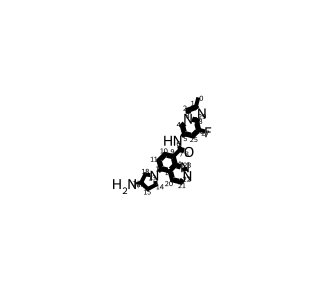 Cc1cn2cc(NC(=O)c3ccc(N4CC[C@@H](N)C4)c4ccnnc34)cc(F)c2n1